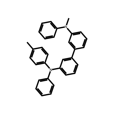 Cc1ccc(N(c2ccccc2)c2cccc(-c3cccc(N(C)c4ccccc4)c3)c2)cc1